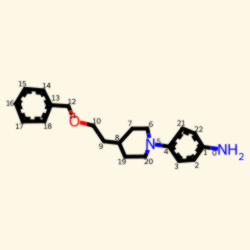 Nc1ccc(N2CCC(CCOCc3ccccc3)CC2)cc1